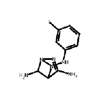 NC1=NN2C(N)C1N2Nc1cccc(I)c1